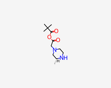 C[C@@H]1CN(CC(=O)OC(=O)C(C)(C)C)CCN1